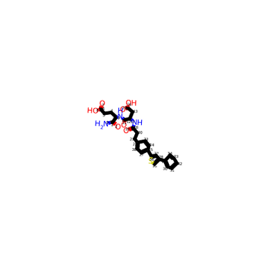 NC(=O)C(CCC(=O)O)NC(=O)C(CC(=O)O)NC(=O)CCc1ccc(-c2cc(-c3ccccc3)cs2)cc1